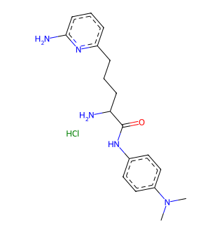 CN(C)c1ccc(NC(=O)C(N)CCCc2cccc(N)n2)cc1.Cl